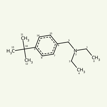 CCN(CC)Cc1c[c]c(C(C)(C)C)cc1